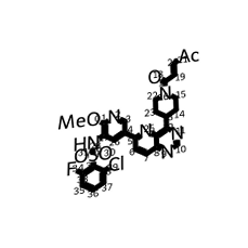 COc1ncc(-c2ccc3ncnc(C4CCN(C(=O)/C=C/C(C)=O)CC4)c3n2)cc1NS(=O)(=O)c1c(F)cccc1Cl